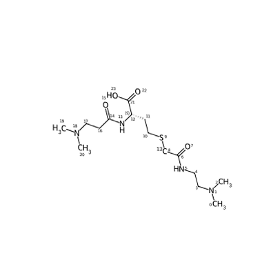 CN(C)CCNC(=O)[13CH2]SCC[C@H](NC(=O)CCN(C)C)C(=O)O